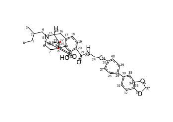 CCC(C)CN1CC[C@]23CC(=O)CC[C@H]2[C@H]1Cc1ccc(C(=O)NCCc2ccc(-c4ccc5c(c4)OCO5)cc2)c(O)c13